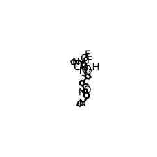 Cc1c(-c2nc3cc(CN4CCCCC4)ccc3o2)cccc1-c1cccc(-c2nc3cc(CN4CCC[C@H]4C(=O)O)c(OC(F)F)cc3o2)c1C